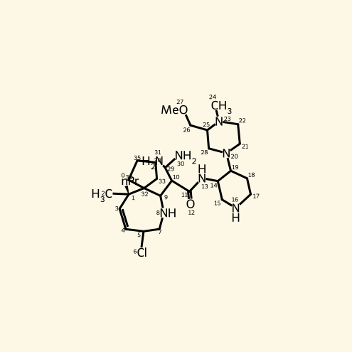 CCC[C@]1(C)/C=C\C(Cl)CNC(C(C(=O)NC2CNCCC2N2CCN(C)C(COC)C2)C(N)N)C12CCCC2